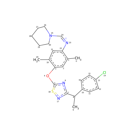 Cc1cc(Oc2nc(C(C)c3ccc(Cl)cc3)ns2)c(C)cc1/N=C\N1CCCCC1